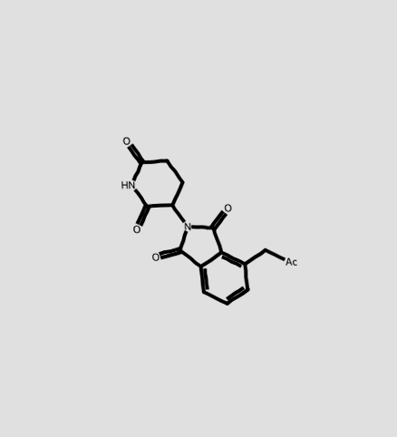 CC(=O)Cc1cccc2c1C(=O)N(C1CCC(=O)NC1=O)C2=O